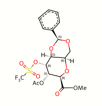 COC(=O)[C@@H]1O[C@@H]2CO[C@H](c3ccccc3)O[C@@H]2[C@@H](OS(=O)(=O)C(F)(F)F)[C@H]1OC(C)=O